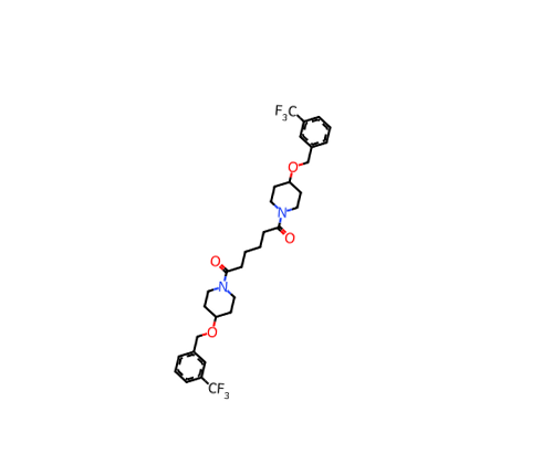 O=C(CCCCC(=O)N1CCC(OCc2cccc(C(F)(F)F)c2)CC1)N1CCC(OCc2cccc(C(F)(F)F)c2)CC1